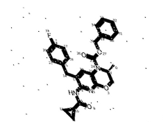 C[C@H]1COc2nc(NC(=O)C3CC3)c(Cc3ccc(F)cc3)cc2N1C(=O)OCc1ccccc1